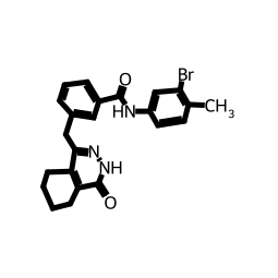 Cc1ccc(NC(=O)c2cccc(Cc3n[nH]c(=O)c4c3CCCC4)c2)cc1Br